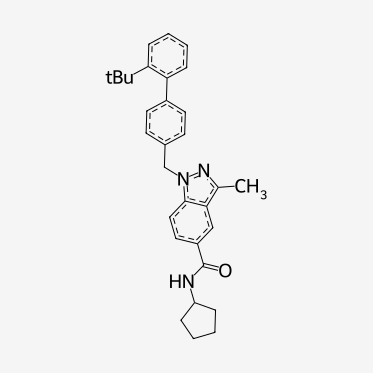 Cc1nn(Cc2ccc(-c3ccccc3C(C)(C)C)cc2)c2ccc(C(=O)NC3CCCC3)cc12